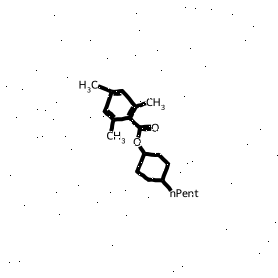 CCCCCC1CCC(OC(=O)c2c(C)cc(C)cc2C)CC1